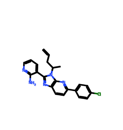 C=CCC(C)n1c(-c2cccnc2N)nc2ccc(-c3ccc(Cl)cc3)nc21